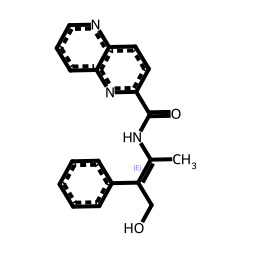 C/C(NC(=O)c1ccc2ncccc2n1)=C(\CO)c1ccccc1